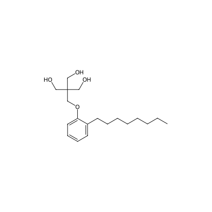 CCCCCCCCc1ccccc1OCC(CO)(CO)CO